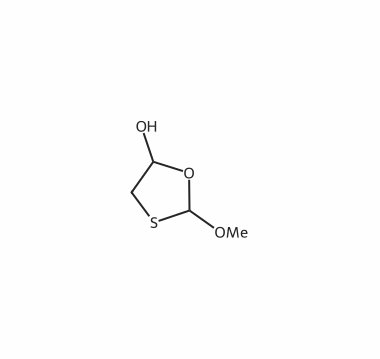 COC1OC(O)CS1